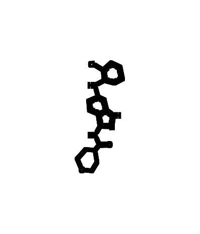 O=C(Nc1n[nH]c2cc(Nc3ccccc3Cl)ccc12)C1CCOCC1